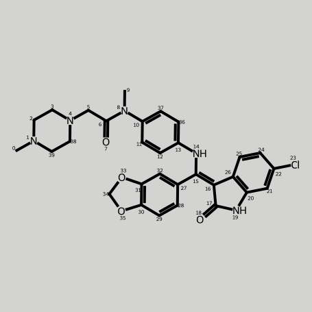 CN1CCN(CC(=O)N(C)c2ccc(NC(=C3C(=O)Nc4cc(Cl)ccc43)c3ccc4c(c3)OCO4)cc2)CC1